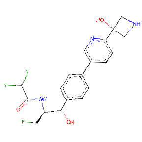 O=C(N[C@H](CF)[C@@H](O)c1ccc(-c2ccc(C3(O)CNC3)nc2)cc1)C(F)F